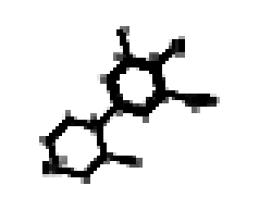 COc1cc(N2CCNC[C@@H]2C)cc(C)c1Cl